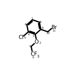 FC(F)(F)COc1c(Cl)cccc1CBr